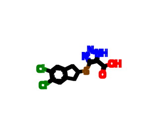 O=C(O)c1[nH]nnc1SC1Cc2cc(Cl)c(Cl)cc2C1